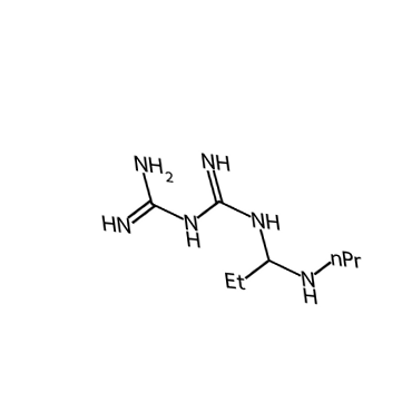 CCCNC(CC)NC(=N)NC(=N)N